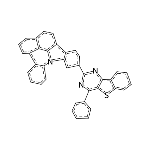 c1ccc(-c2nc(-c3ccc4c5ccc6cccc7c8ccccc8n(c4c3)c5c67)nc3c2sc2ccccc23)cc1